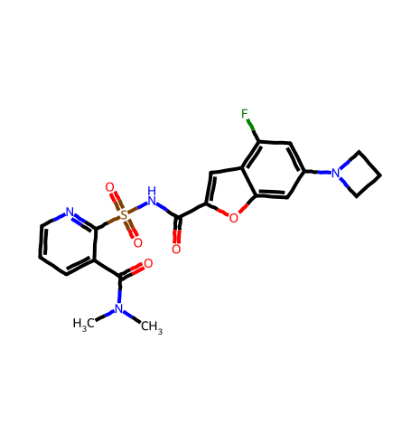 CN(C)C(=O)c1cccnc1S(=O)(=O)NC(=O)c1cc2c(F)cc(N3CCC3)cc2o1